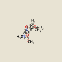 COCC1CN(C)CC2(CCN(C(=O)c3ccc(OC(C)C)c(C)c3)CC2)O1